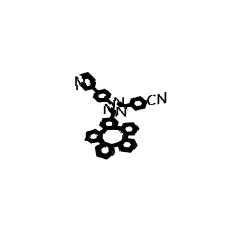 N#Cc1ccc(-c2nc(-c3ccc(-c4cccnc4)cc3)nc(-c3ccc4c5ccccc5c5ccccc5c5ccccc5c5ccccc5c4c3)n2)cc1